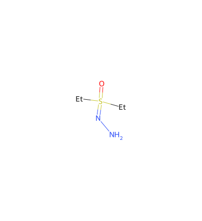 CCS(=O)(CC)=NN